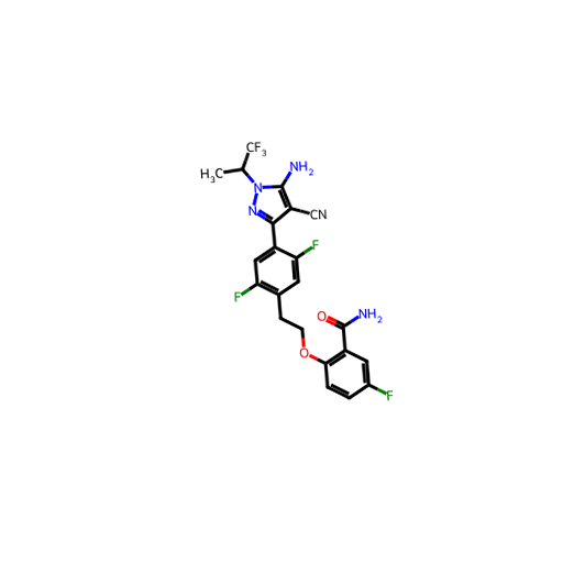 CC(n1nc(-c2cc(F)c(CCOc3ccc(F)cc3C(N)=O)cc2F)c(C#N)c1N)C(F)(F)F